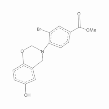 COC(=O)c1ccc(N2COc3ccc(O)cc3C2)c(Br)c1